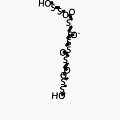 O=C(CSCC[S+]([O-])CSCSC(=O)CSCCOOCSCSCO)OCSCSCO